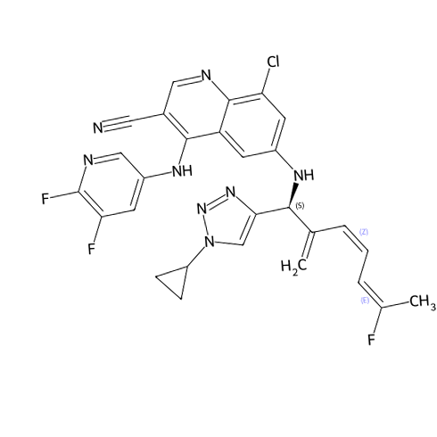 C=C(/C=C\C=C(/C)F)[C@H](Nc1cc(Cl)c2ncc(C#N)c(Nc3cnc(F)c(F)c3)c2c1)c1cn(C2CC2)nn1